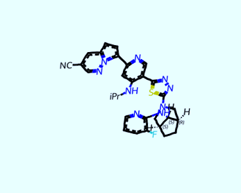 CC(C)Nc1cc(-c2ccc3cc(C#N)cnn23)ncc1-c1nnc(N2C[C@H]3CC[C@@H](C2)[C@@H]3Nc2ncccc2F)s1